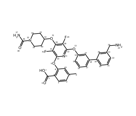 Cc1ccc(C(=O)O)c(Oc2nc(Oc3cccc(-c4cccc(CN)c4)c3)c(F)c(OC3CCN(C(N)=O)CC3)c2F)c1